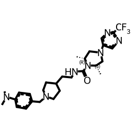 C[C@@H]1CN(c2cnc(C(F)(F)F)nc2)C[C@H](C)N1C(=O)NCCC1CCN(Cc2ccc(N(C)C)cc2)CC1